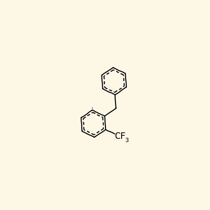 FC(F)(F)c1ccc[c]c1Cc1ccccc1